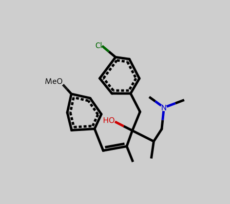 COc1ccc(C=C(C)C(O)(Cc2ccc(Cl)cc2)C(C)CN(C)C)cc1